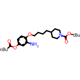 CCCCC(=O)Oc1ccc(OCCCCC2CCN(C(=O)OC(C)(C)C)CC2)c(N)c1